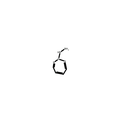 NNN1N=CC=CC=N1